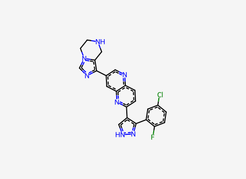 Fc1ccc(Cl)cc1-c1n[nH]cc1-c1ccc2ncc(-c3ncn4c3CNCC4)cc2n1